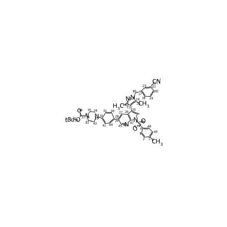 Cc1ccc(S(=O)(=O)n2cc(-c3c(C)nn(Cc4cccc(C#N)c4)c3C)c3cc(-c4ccc(N5CCN(C(=O)OC(C)(C)C)CC5)cc4)cnc32)cc1